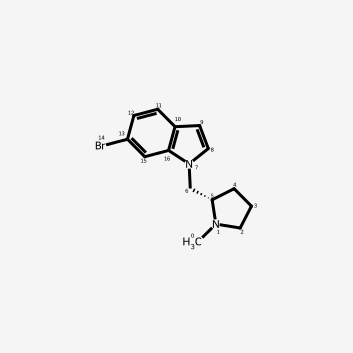 CN1CCC[C@H]1Cn1ccc2ccc(Br)cc21